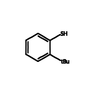 CC(C)(C)c1ccccc1S